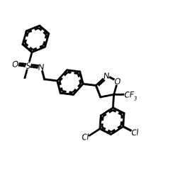 CS(=O)(=NCc1ccc(C2=NOC(c3cc(Cl)cc(Cl)c3)(C(F)(F)F)C2)cc1)c1ccccc1